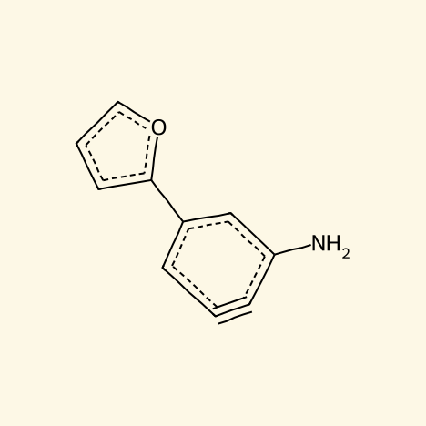 Nc1c#ccc(-c2ccco2)c1